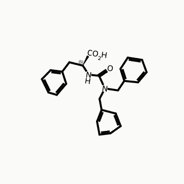 O=C(O)[C@H](Cc1ccccc1)NC(=O)N(Cc1ccccc1)Cc1ccccc1